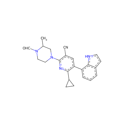 CC1CN(c2nc(C3CC3)c(-c3cccc4cc[nH]c34)cc2C#N)CCN1C=O